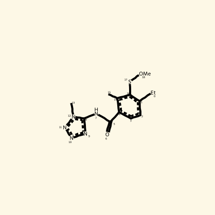 CCc1ccc(C(=O)Nc2nnnn2C)c(C)c1SOC